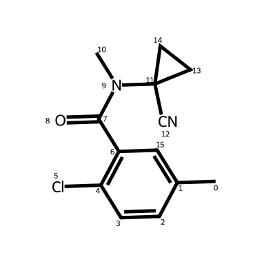 Cc1ccc(Cl)c(C(=O)N(C)C2(C#N)CC2)c1